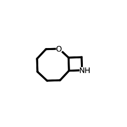 C1CCOC2CNC2CC1